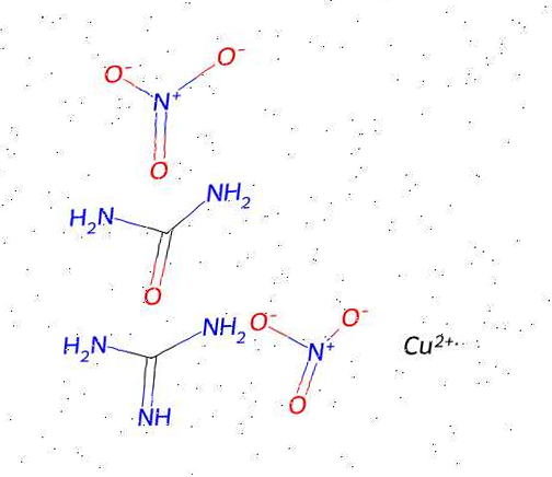 N=C(N)N.NC(N)=O.O=[N+]([O-])[O-].O=[N+]([O-])[O-].[Cu+2]